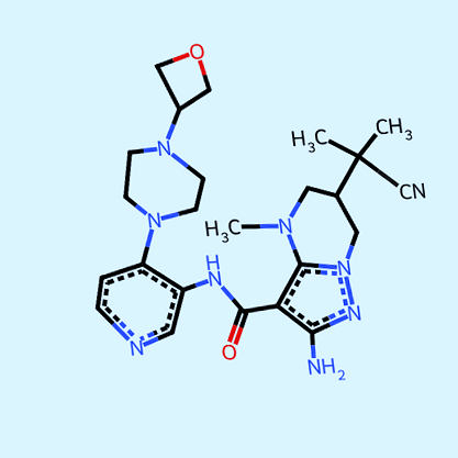 CN1CC(C(C)(C)C#N)Cn2nc(N)c(C(=O)Nc3cnccc3N3CCN(C4COC4)CC3)c21